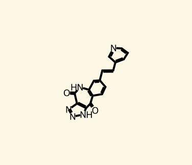 O=c1[nH]c2cc(C=Cc3cccnc3)ccc2c(=O)c2[nH]nnc12